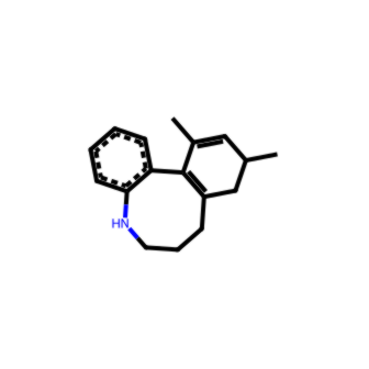 CC1=CC(C)CC2=C1c1ccccc1NCCC2